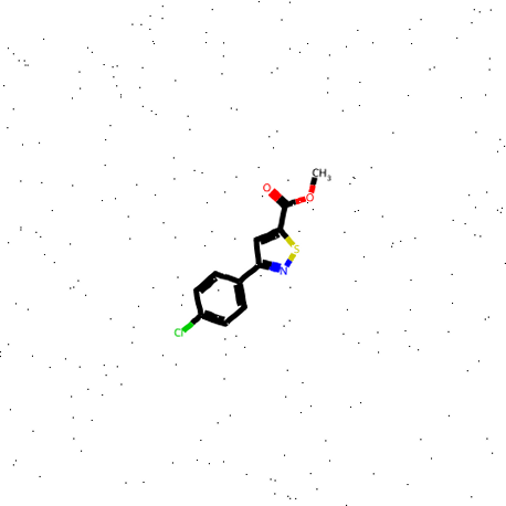 COC(=O)c1cc(-c2ccc(Cl)cc2)ns1